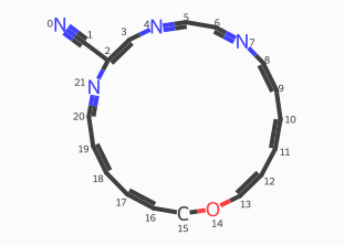 N#CC1=CN=CC=NC=CC=CC=COCC=CC=CC=N1